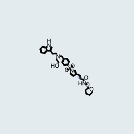 O=C(/C=C/c1ccn(S(=O)(=O)c2ccc(CN(CCO)CCc3c[nH]c4ccccc34)cc2)c1)NOC1CCCCO1